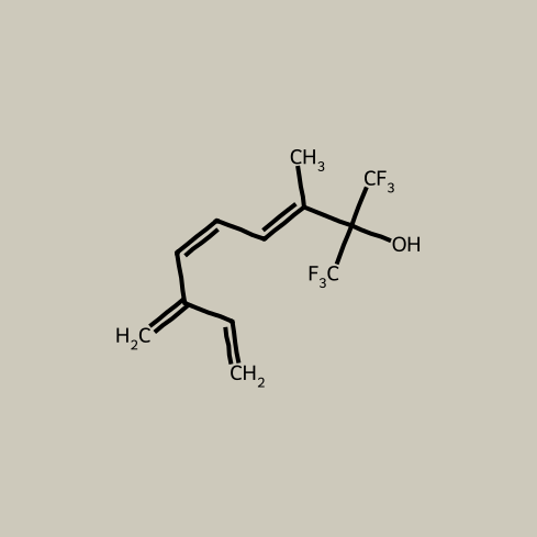 C=CC(=C)/C=C\C=C(/C)C(O)(C(F)(F)F)C(F)(F)F